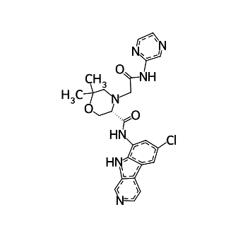 CC1(C)CN(CC(=O)Nc2cnccn2)[C@H](C(=O)Nc2cc(Cl)cc3c2[nH]c2cnccc23)CO1